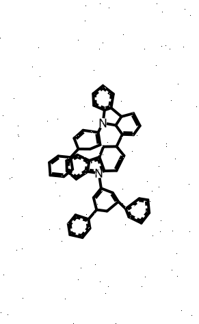 C1=CCC(C2C=CC(N3c4ccccc4C4C=CC=C(C5C=Cc6c(c7ccccc7n6C6=CC(c7ccccc7)CC(c7ccccc7)=C6)C5)C43)=CC2)C=C1